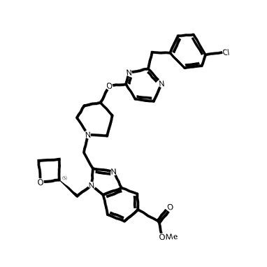 COC(=O)c1ccc2c(c1)nc(CN1CCC(Oc3ccnc(Cc4ccc(Cl)cc4)n3)CC1)n2C[C@@H]1CCO1